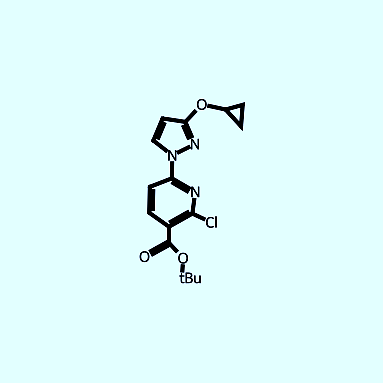 CC(C)(C)OC(=O)c1ccc(-n2ccc(OC3CC3)n2)nc1Cl